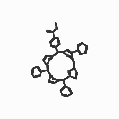 COC(=O)c1ccc(C2=C3C=C(c4ccccc4)C(=N3)C=C3C=CC(=N3)C(c3ccccc3)=C3C=CC(=N3)C(c3ccccc3)=C3C=CC2=N3)cc1